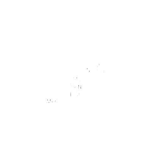 COc1ccc(S(=O)(=O)NC(=O)c2ccc(C(=O)OC3CCCC3)nc2)cc1